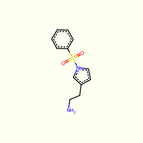 NCCc1ccn(S(=O)(=O)c2ccccc2)c1